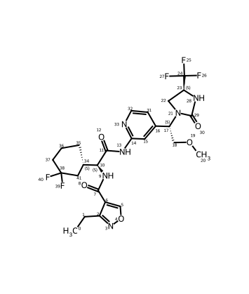 CCc1nocc1C(=O)N[C@H](C(=O)Nc1cc([C@@H](COC)N2C[C@@H](C(F)(F)F)NC2=O)ccn1)[C@H]1CCCC(F)(F)C1